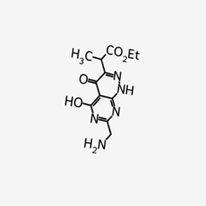 CCOC(=O)C(C)c1n[nH]c2nc(CN)nc(O)c2c1=O